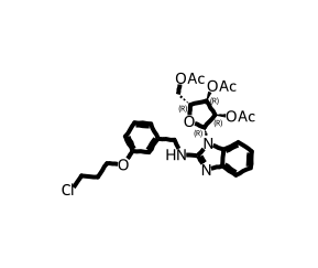 CC(=O)OC[C@H]1O[C@@H](n2c(NCc3cccc(OCCCCl)c3)nc3ccccc32)[C@H](OC(C)=O)[C@@H]1OC(C)=O